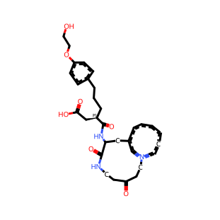 O=C(O)C[C@@H](CCCc1ccc(OCCO)cc1)C(=O)NC1Cc2ccccccn(c2)CCC(=O)CCNC1=O